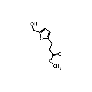 COC(=O)CCc1ccc(CO)o1